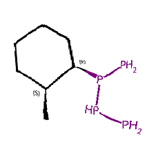 C[C@H]1CCCC[C@H]1P(P)PP